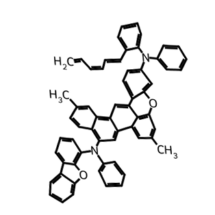 C=C/C=C\C=C\c1ccccc1N(c1ccccc1)c1ccc2c(c1)Oc1cc(C)cc3c1c-2cc1c2cc(C)ccc2c(N(c2ccccc2)c2cccc4c2oc2ccccc24)cc31